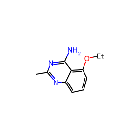 CCOc1cccc2nc(C)nc(N)c12